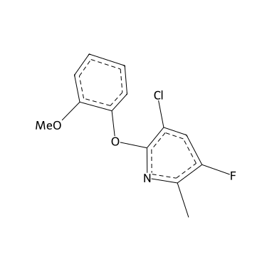 COc1ccccc1Oc1nc(C)c(F)cc1Cl